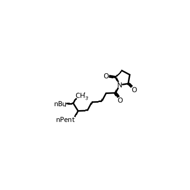 CCCCCC(CCCCC(=O)N1C(=O)CCC1=O)C(C)CCCC